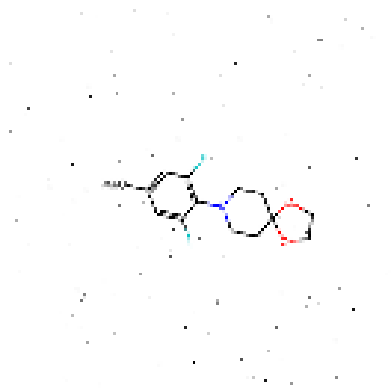 COc1cc(F)c(N2CCC3(CC2)OCCO3)c(F)c1